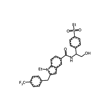 CCn1c(Cc2ccc(C(F)(F)F)cc2)cc2cc(C(=O)NC(CO)c3ccc(S(=O)(=O)CC)cc3)ccc21